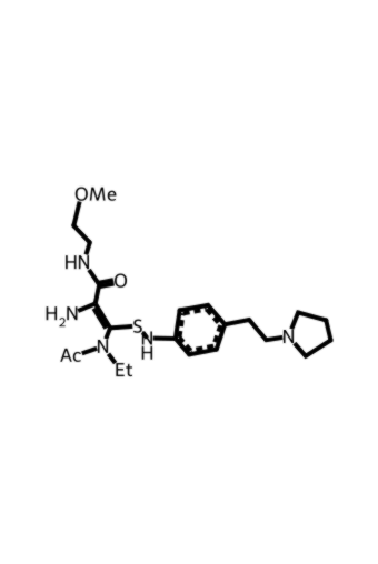 CCN(C(C)=O)/C(SNc1ccc(CCN2CCCC2)cc1)=C(\N)C(=O)NCCOC